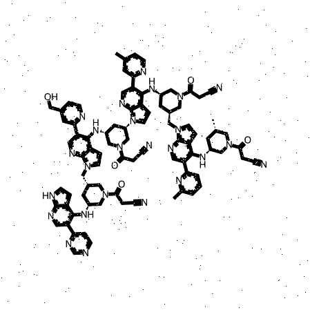 Cc1ccnc(-c2cnc3c(ccn3[C@H]3C[C@@H](Nc4c(-c5cc(CO)ccn5)cnc5c4ccn5C[C@H]4C[C@@H](Nc5c(-c6ccncn6)cnc6[nH]ccc56)CN(C(=O)CC#N)C4)CN(C(=O)CC#N)C3)c2N[C@@H]2C[C@H](Cn3ccc4c(N[C@@H]5C[C@H](C)CN(C(=O)CC#N)C5)c(-c5cccc(C)n5)cnc43)CN(C(=O)CC#N)C2)c1